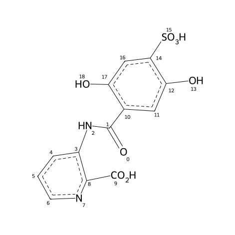 O=C(Nc1cccnc1C(=O)O)c1cc(O)c(S(=O)(=O)O)cc1O